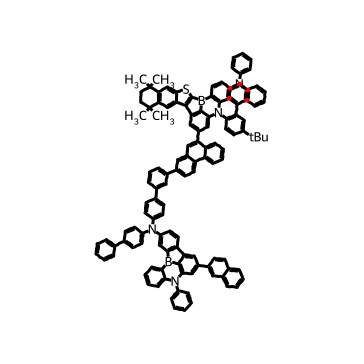 CC(C)(C)c1ccc(N2c3cc(N(c4ccccc4)c4ccccc4)ccc3B3c4sc5cc6c(cc5c4-c4cc(-c5cc7cc(-c8cccc(-c9ccc(N(c%10ccc(-c%11ccccc%11)cc%10)c%10ccc%11c(c%10)B%10c%12ccccc%12N(c%12ccccc%12)c%12cc(-c%13ccc%14ccccc%14c%13)cc-%11c%12%10)cc9)c8)ccc7c7ccccc57)cc2c43)C(C)(C)CCC6(C)C)c(-c2ccccc2)c1